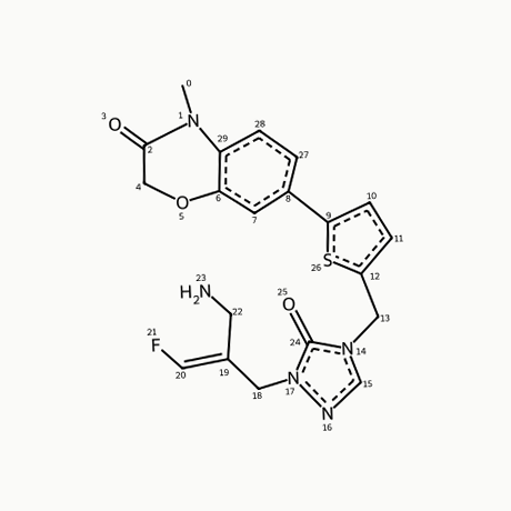 CN1C(=O)COc2cc(-c3ccc(Cn4cnn(C/C(=C/F)CN)c4=O)s3)ccc21